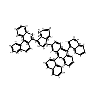 c1ccc2c(-c3c4ccccc4c(-c4cccc5ccccc45)c4cc(-c5ccc(-c6nc7ccccc7c7c6ccc6ccccc67)c6ncccc56)ccc34)cccc2c1